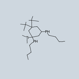 CCCCPC1C[C](PCCCC)([Ti]([CH3])[CH3])CC(C(C)(C)C)(C(C)(C)C)C1